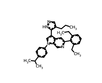 CCCc1cn[nH]c1-c1cn(-c2ccc(C(C)C)cc2)c2cnc(-c3c(CC)cccc3CC)cc12